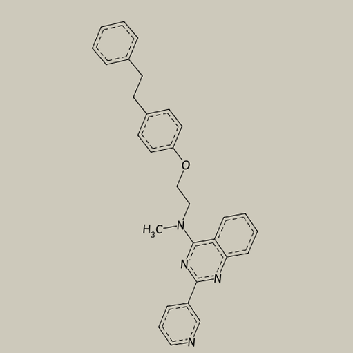 CN(CCOc1ccc(CCc2ccccc2)cc1)c1nc(-c2cccnc2)nc2ccccc12